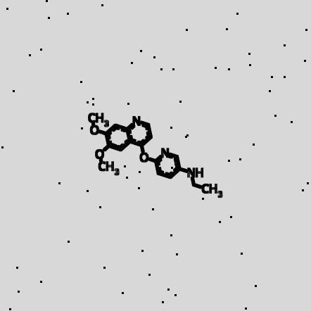 CCNc1ccc(Oc2ccnc3cc(OC)c(OC)cc23)nc1